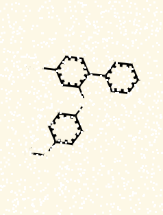 COc1ccc(-c2ccccc2)c(Oc2ccc(NO)cc2)c1